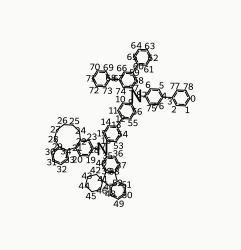 c1ccc(-c2ccc(N(c3ccc(-c4ccc(N(c5ccc6c(c5)CCCCCc5ccccc5-6)c5ccc6c(c5)C5(CCCCC5)c5ccccc5-6)cc4)cc3)c3cc(-c4ccccc4)cc(-c4ccccc4)c3)cc2)cc1